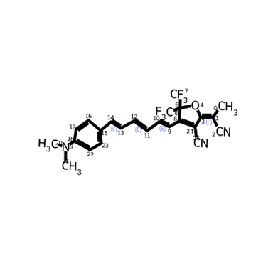 C/C(C#N)=C1\OC(C(F)(F)F)(C(F)(F)F)C(/C=C/C=C/C=C/c2ccc(N(C)C)cc2)=C1C#N